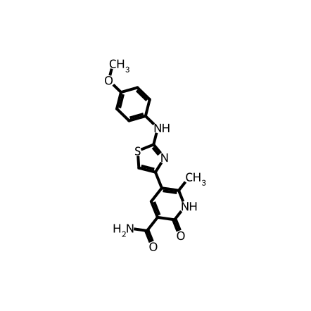 COc1ccc(Nc2nc(-c3cc(C(N)=O)c(=O)[nH]c3C)cs2)cc1